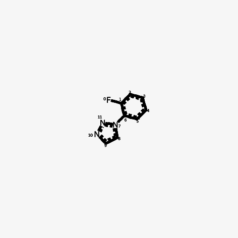 Fc1ccc[c]c1-n1ccnn1